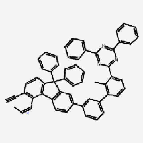 C#Cc1ccc2c(c1/C=C\C)-c1ccc(-c3cccc(-c4cccc(-c5nc(-c6ccccc6)nc(-c6ccccc6)n5)c4C)c3)cc1C2(c1ccccc1)c1ccccc1